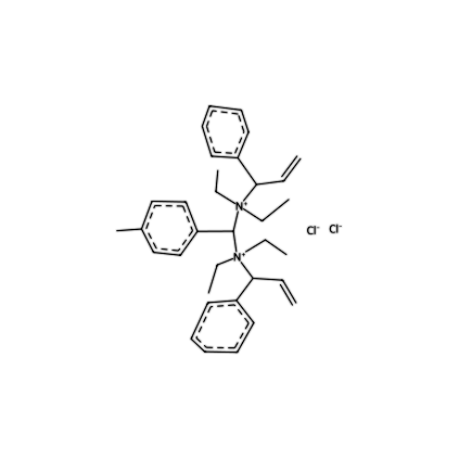 C=CC(c1ccccc1)[N+](CC)(CC)C(c1ccc(C)cc1)[N+](CC)(CC)C(C=C)c1ccccc1.[Cl-].[Cl-]